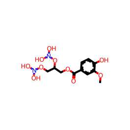 COc1cc(C(=O)OCC(CON(O)O)ON(O)O)ccc1O